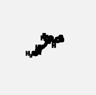 COc1ccc(NCC#Cc2cc3c(NC4CCS(=O)(=O)CC4)cccc3n2CC(F)(F)F)cn1